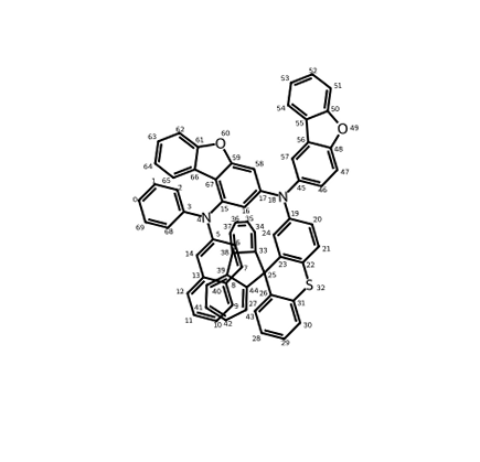 c1ccc(N(c2ccc3ccccc3c2)c2cc(N(c3ccc4c(c3)C3(c5ccccc5S4)c4ccccc4-c4ccccc43)c3ccc4oc5ccccc5c4c3)cc3oc4ccccc4c23)cc1